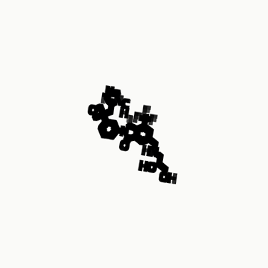 Cn1cnnc1CC1(c2cccc(N3Cc4c(cc(CNC[C@H](O)CO)cc4C(F)(F)F)C3=O)c2)COC1